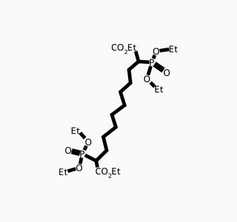 CCOC(=O)C(CCCCCCCCC(C(=O)OCC)P(=O)(OCC)OCC)P(=O)(OCC)OCC